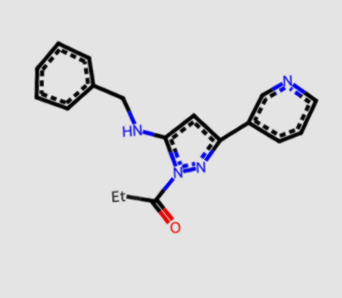 CCC(=O)n1nc(-c2cccnc2)cc1NCc1ccccc1